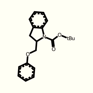 CC(C)(C)OC(=O)N1c2ccccc2CC1COc1ccccc1